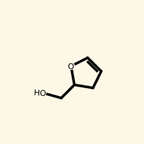 OCC1CC=CO1